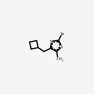 Cc1sc(Br)nc1CC1CCC1